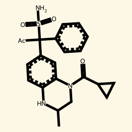 CC(=O)C(c1ccccc1)(c1ccc2c(c1)N(C(=O)C1CC1)CC(C)N2)S(N)(=O)=O